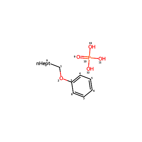 CCCCCCCCOc1ccccc1.O=P(O)(O)O